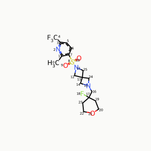 Cc1nc(C(F)(F)F)ccc1S(=O)(=O)N1CC2(CN(CC3(F)CCOCC3)C2)C1